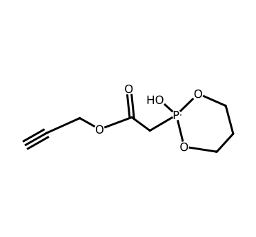 C#CCOC(=O)C[P]1(O)OCCCO1